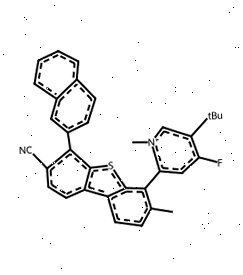 Cc1ccc2c(sc3c(-c4ccc5ccccc5c4)c(C#N)ccc32)c1-c1cc(F)c(C(C)(C)C)c[n+]1C